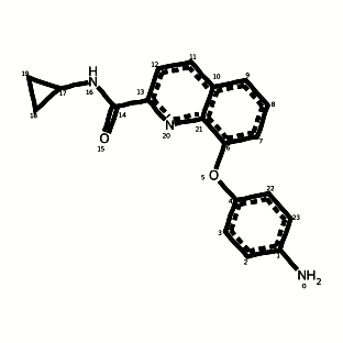 Nc1ccc(Oc2cccc3ccc(C(=O)NC4CC4)nc23)cc1